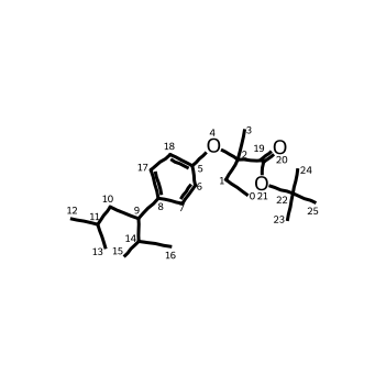 CCC(C)(Oc1ccc(C(CC(C)C)C(C)C)cc1)C(=O)OC(C)(C)C